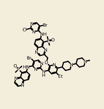 CCc1cc(Nc2ncc(Br)c(Nc3ccc4nccnc4c3P(C)(C)=O)n2)c(OCc2cnc3ccc(Nc4nc(Cl)ncc4Br)c(P(C)(C)=O)c3n2)nc1C1CCN(C2CCN(C)CC2)CC1